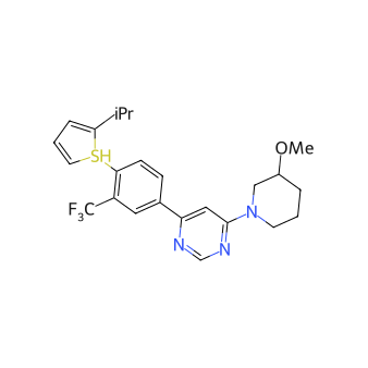 COC1CCCN(c2cc(-c3ccc([SH]4C=CC=C4C(C)C)c(C(F)(F)F)c3)ncn2)C1